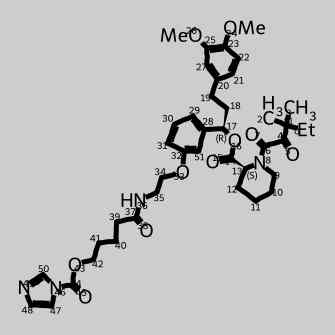 CCC(C)(C)C(=O)C(=O)N1CCCC[C@H]1C(=O)O[C@H](CCc1ccc(OC)c(OC)c1)c1cccc(OCCNC(=O)CCCCOC(=O)n2ccnc2)c1